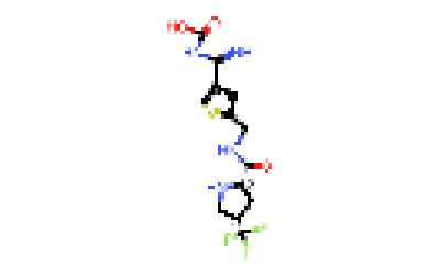 N=C(NC(=O)O)c1csc(CNC(=O)[C@@H]2C[C@H](C(F)(F)F)CN2)c1